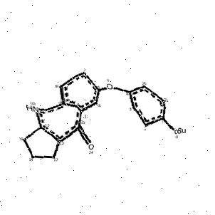 CC(C)(C)c1ccc(Oc2ccc3[nH]c4c(c(=O)c3c2)CCC4)cc1